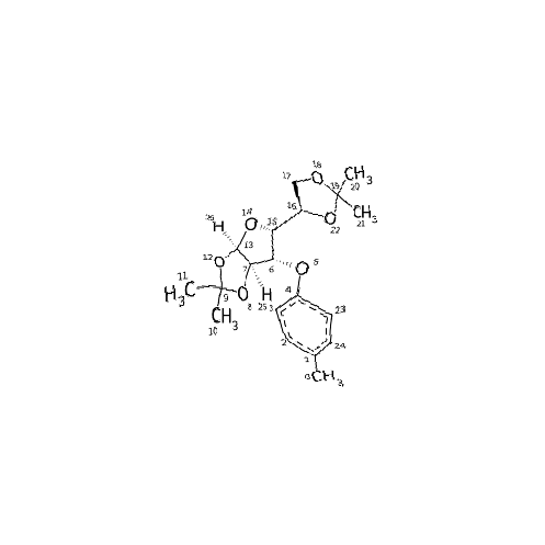 Cc1ccc(O[C@@H]2[C@H]3OC(C)(C)O[C@H]3O[C@@H]2[C@H]2COC(C)(C)O2)cc1